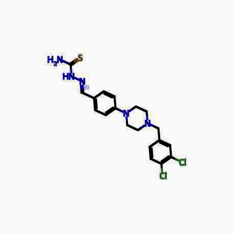 NC(=S)N/N=C/c1ccc(N2CCN(Cc3ccc(Cl)c(Cl)c3)CC2)cc1